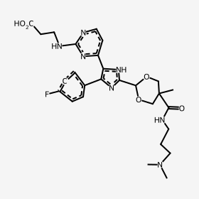 CN(C)CCCNC(=O)C1(C)COC(c2nc(-c3ccc(F)cc3)c(-c3ccnc(NCCC(=O)O)n3)[nH]2)OC1